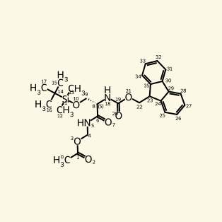 CC(=O)OCNC(=O)[C@H](CO[Si](C)(C)C(C)(C)C)NC(=O)OCC1c2ccccc2-c2ccccc21